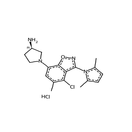 Cc1cc(N2CC[C@@H](N)C2)c2onc(-n3c(C)ccc3C)c2c1Cl.Cl